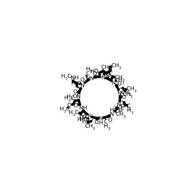 C/C=C/C[C@@H](C)[C@@H](O)[C@H]1C(=O)N[C@@H](CC)C(=O)N(C)[C@H](CCCNC)C(=O)N(C)[C@@H]([C@H](C)COC)C(=O)NC(C(C)C)C(=O)N(C)[C@@H](CC(C)C)C(=O)N[C@@H](C)C(=O)N[C@H](C)C(=O)N(C)[C@@H](CC(C)C)C(=O)N(C)[C@@H](CC(C)C)C(=O)N(C)C(C(C)C)C(=O)N1C